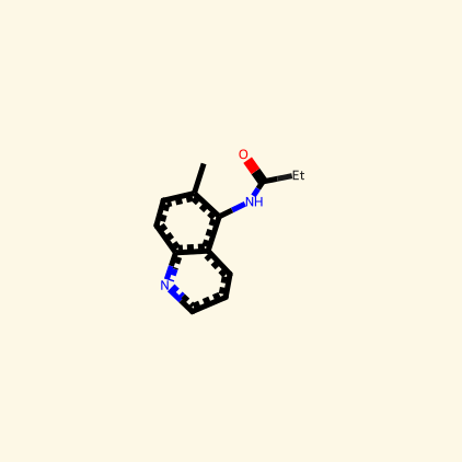 CCC(=O)Nc1c(C)ccc2ncccc12